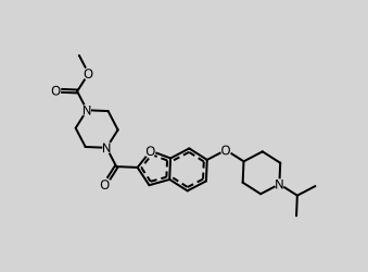 COC(=O)N1CCN(C(=O)c2cc3ccc(OC4CCN(C(C)C)CC4)cc3o2)CC1